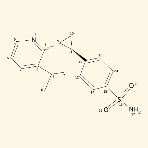 CC(C)c1cccnc1[C@@H]1C[C@H]1c1ccc(S(N)(=O)=O)cc1